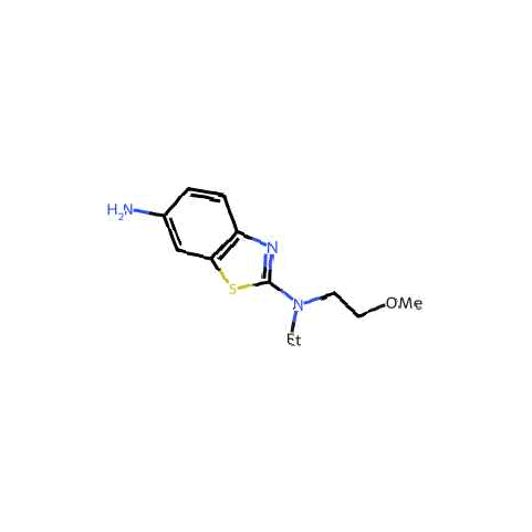 CCN(CCOC)c1nc2ccc(N)cc2s1